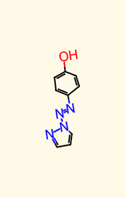 Oc1ccc(N=Nn2cccn2)cc1